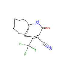 N#Cc1c(C(F)(F)F)c2c([nH]c1=O)CCCC2